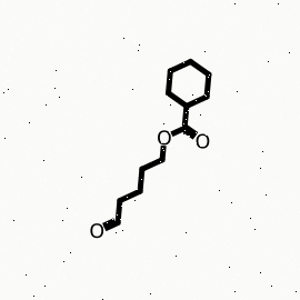 O=CCCCCOC(=O)C1CCCCC1